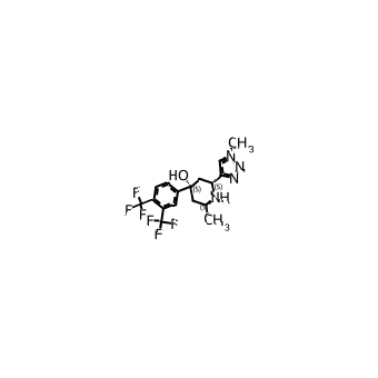 C[C@H]1C[C@@](O)(c2ccc(C(F)(F)F)c(C(F)(F)F)c2)C[C@@H](c2cn(C)nn2)N1